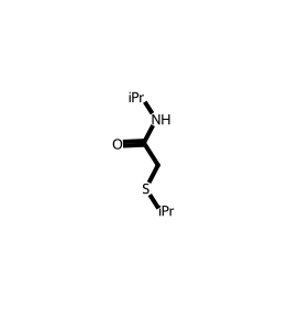 CC(C)NC(=O)CSC(C)C